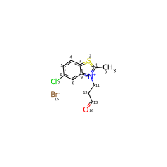 Cc1sc2ccc(Cl)cc2[n+]1CCC=O.[Br-]